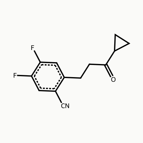 N#Cc1cc(F)c(F)cc1CCC(=O)C1CC1